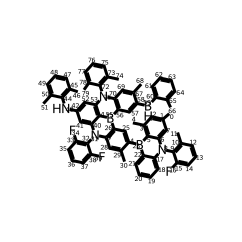 Cc1cc(C)c2c(c1)N(c1c(C)cccc1F)c1ccccc1B2c1cc2c(cc1C)N(c1c(F)cccc1F)c1cc(Nc3c(C)cccc3C)cc3c1B2c1cc(Bc2ccccc2C)c(C)cc1N3c1c(C)cccc1C